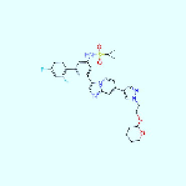 O=S(=O)(Nc1cc(-c2ccc(F)cc2F)cc(-c2cnc3cc(-c4cnn(CCOC5CCCCO5)c4)ccn23)c1)C1CC1